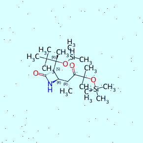 C[C@@H](C(=O)C(C)(C)O[Si](C)(C)C)[C@H]1NC(=O)[C@@H]1[C@@](C)(O[SiH](C)C)C(C)(C)C